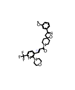 COc1cccc(C2=NOC3(CCN(C(=O)/C=C/c4ccc(C(F)(F)F)nc4N4CCOCC4)CC3)C2)c1